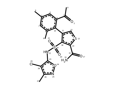 CC(=O)c1cc(C)cc(C)c1-c1csc(C(N)=O)c1S(=O)(=O)Nc1onc(C)c1Cl